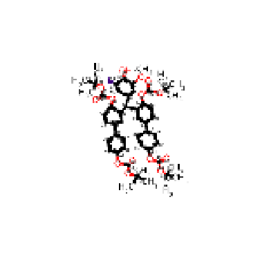 COc1cc(C(c2cc(-c3ccc(OC(=O)OC(C)(C)C)cc3)ccc2OC(=O)OC(C)(C)C)c2cc(-c3ccc(OC(=O)OC(C)(C)C)cc3)ccc2OC(=O)OC(C)(C)C)cc(I)c1O